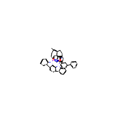 C/C1=C(/c2ccccc2)CC/C=C(c2cccc(-c3ccccc3)c2)\N=C(\n2c3ccccc3c3ccc4c5ccccc5n(-c5ccccc5)c4c32)CC1